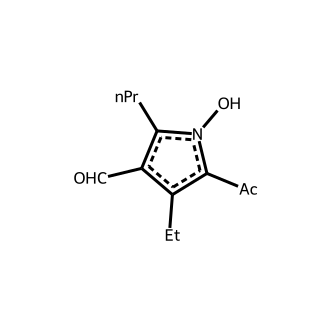 CCCc1c(C=O)c(CC)c(C(C)=O)n1O